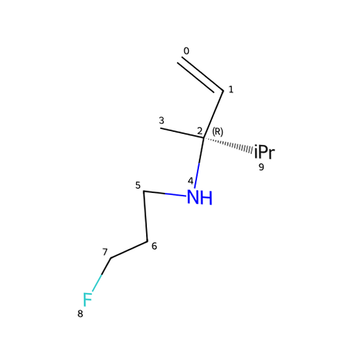 C=C[C@](C)(NCCCF)C(C)C